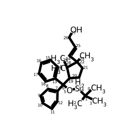 CC(C)(C)[SiH2]OC(c1ccccc1)(c1ccccc1)C1CCC(C)(C=CCO)C1(C)C